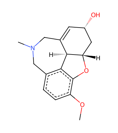 COc1ccc2c3c1O[C@H]1C[C@@H](O)C=C(CN(C)C2)[C@H]31